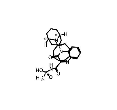 CP(=O)(O)NC(=O)c1nc2ccccc2n([C@H]2C[C@H]3CCC[C@@H](C2)N3C2CCCCCCC2)c1=O